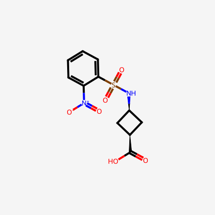 O=C(O)[C@H]1C[C@@H](NS(=O)(=O)c2ccccc2[N+](=O)[O-])C1